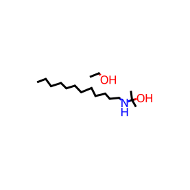 CCCCCCCCCCCCNC(C)(C)O.CCO